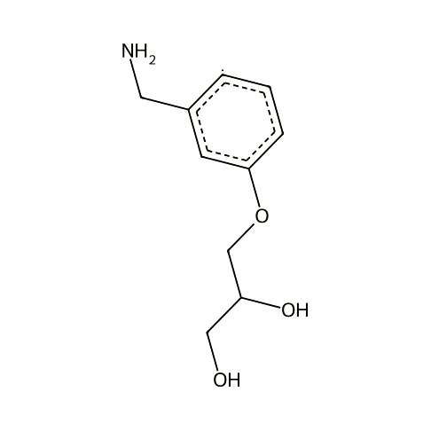 NCc1[c]ccc(OCC(O)CO)c1